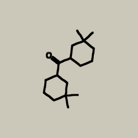 CC1(C)CCCC(C(=O)C2CCCC(C)(C)C2)C1